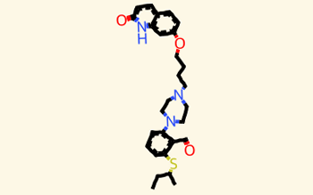 CCC(C)Sc1cccc(N2CCN(CCCCOc3ccc4ccc(=O)[nH]c4c3)CC2)c1C=O